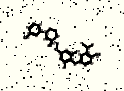 Cc1cc(OC[P@@]2(=O)OCC[C@@H](c3cccc(Cl)c3)O2)cc(I)c1Cc1ccc(O)c(C(C)I)c1